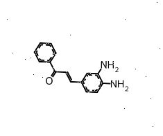 Nc1ccc(C=CC(=O)c2ccccc2)cc1N